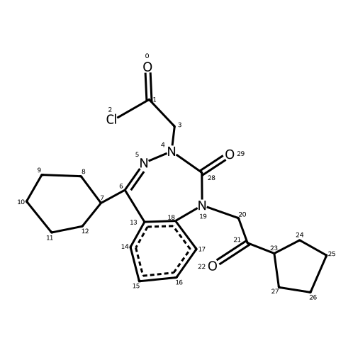 O=C(Cl)CN1N=C(C2CCCCC2)c2ccccc2N(CC(=O)C2CCCC2)C1=O